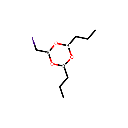 CCCB1OB(CI)OB(CCC)O1